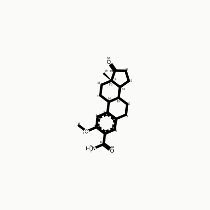 COc1cc2c(cc1C(N)=O)CCC1C2CC[C@]2(C)C(=O)CCC12